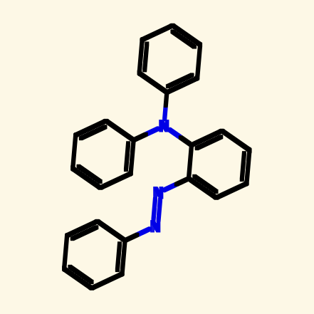 c1ccc(N=Nc2ccccc2N(c2ccccc2)c2ccccc2)cc1